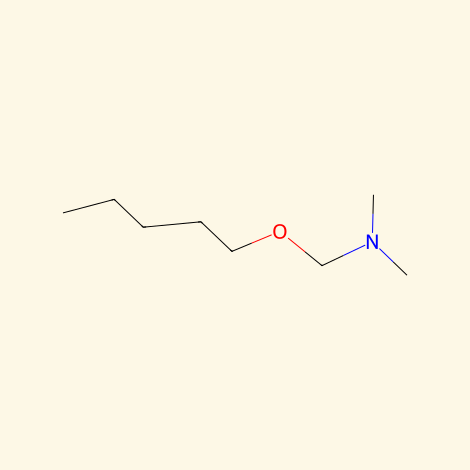 CCCCCOCN(C)C